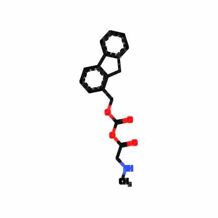 CNCC(=O)OC(=O)OCc1cccc2c1Cc1ccccc1-2